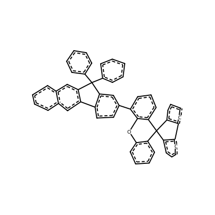 c1ccc(C2(c3ccccc3)c3cc(-c4cccc5c4Oc4ccccc4C54c5ccccc5-c5ccccc54)ccc3-c3cc4ccccc4cc32)cc1